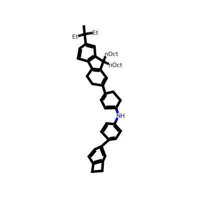 CCCCCCCCC1(CCCCCCCC)C2=C(CCC(C3=CC=C(Nc4ccc(-c5ccc6c(c5)CC6)cc4)CC3)=C2)c2ccc(C(C)(CC)CC)cc21